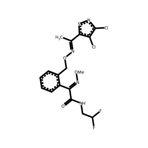 CO/N=C(/C(=O)NCC(F)F)c1ccccc1CO/N=C(\C)c1snc(Cl)c1Cl